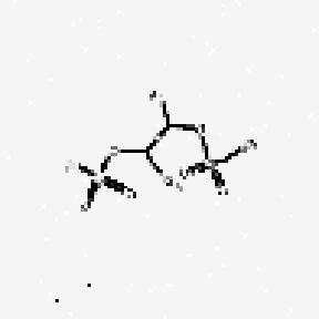 CCC(OS(=O)(=O)C(C)C)C(C)OS(=O)(=O)C(C)C